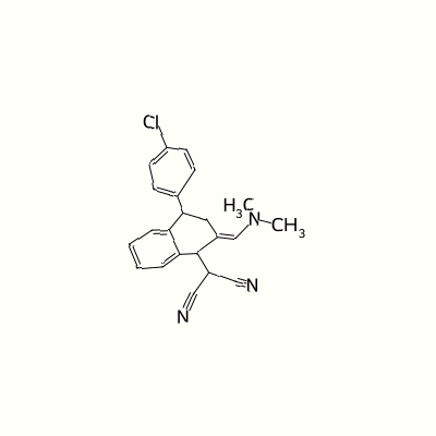 CN(C)C=C1CC(c2ccc(Cl)cc2)c2ccccc2C1C(C#N)C#N